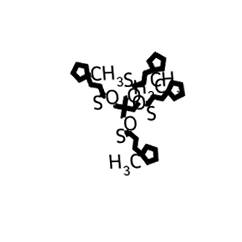 CC1(CCC(=S)OCC(COC(=S)CCC2(C)CCCC2)(COC(=S)CCC2(C)CCCC2)COC(=S)CCC2(C)CCCC2)CCCC1